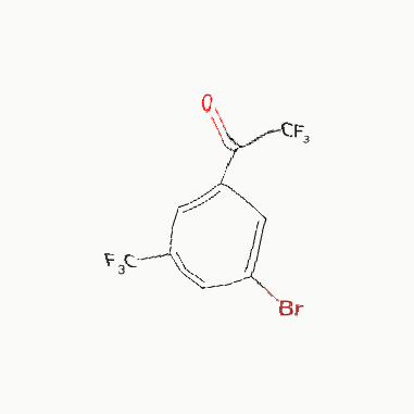 O=C(c1cc(Br)cc(C(F)(F)F)c1)C(F)(F)F